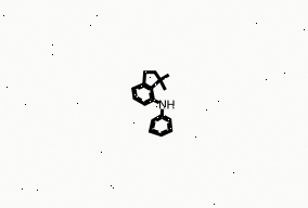 CC1(C)CCc2cccc(Nc3ccccc3)c21